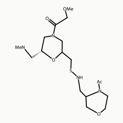 CNC[C@@H]1CN(C(=O)COC)CC(CSNCC2COCCN2C(C)=O)O1